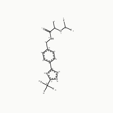 CC(OC(F)F)C(=O)NCc1ccc(-c2noc(C(F)(F)F)n2)cc1